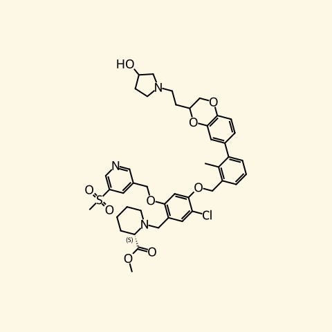 COC(=O)[C@@H]1CCCCN1Cc1cc(Cl)c(OCc2cccc(-c3ccc4c(c3)OC(CCN3CCC(O)C3)CO4)c2C)cc1OCc1cncc(S(C)(=O)=O)c1